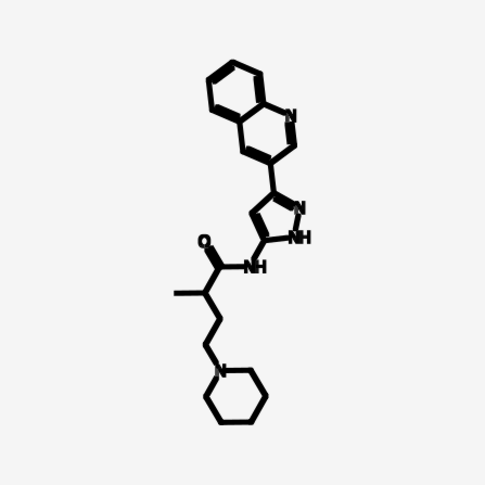 CC(CCN1CCCCC1)C(=O)Nc1cc(-c2cnc3ccccc3c2)n[nH]1